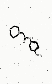 Nc1ccc(NC(=O)CN2CCCCCC2)cc1